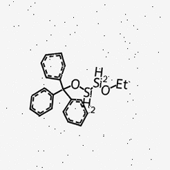 CCO[SiH2][SiH2]OC(c1ccccc1)(c1ccccc1)c1ccccc1